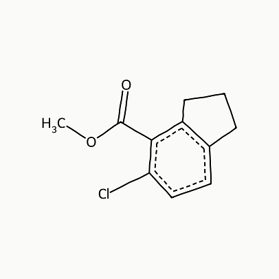 COC(=O)c1c(Cl)ccc2c1CCC2